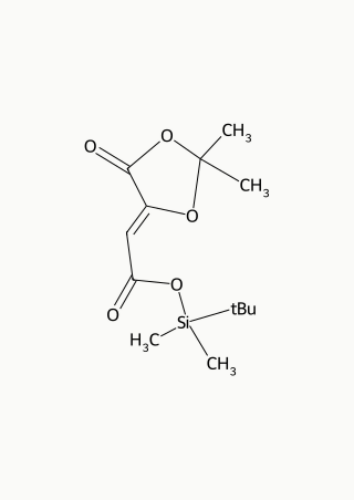 CC1(C)OC(=O)C(=CC(=O)O[Si](C)(C)C(C)(C)C)O1